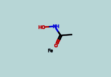 CC(=O)NO.[Fe]